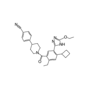 CCOc1nnc(-c2cc(C(=O)N3CCC(c4ccc(C#N)cc4)CC3)c(CC)cc2C2CCC2)[nH]1